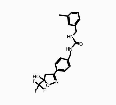 Cc1cccc(CNC(=O)NCc2ccc(C3=NOC(O)(C(F)(F)F)C3)cc2)c1